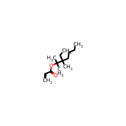 C=CC(=O)OC(C)(C)C(C)(CC)CCCC